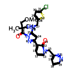 COCC(C)(C)C(=O)n1nc(-c2cccn(Cc3cccnn3)c2=O)cc1NCc1ccc(Cl)s1